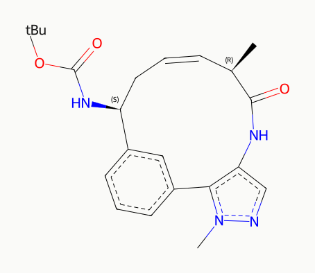 C[C@@H]1C=CC[C@H](NC(=O)OC(C)(C)C)c2cccc(c2)-c2c(cnn2C)NC1=O